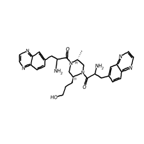 C[C@@H]1CN(C(=O)C(N)Cc2ccc3nccnc3c2)[C@@H](CCCO)CN1C(=O)C(N)Cc1ccc2nccnc2c1